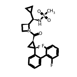 CS(=O)(=O)N[C@H](C1CC1)[C@@H]1CCN1C(=O)[C@@H]1C[C@@]1(F)c1ccccc1-c1c(F)cccc1F